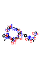 C#CNc1ccccc1CC[C@@H]1NC(=O)[C@H]([C@@H](C)[C@@H](O)CO)NC(=O)[C@@H]2C[C@@H](O)CN2C(=O)[C@H](CC(=O)NCc2ccc(NC(=O)[C@H](C)NC(=O)C(NC(=O)CCN3C(=O)C=CC3=O)C(C)C)cc2)NC(=O)[C@@H]2C=C(CNC(=O)[C@H]([C@@H](C)CC)NC(=O)CNC1=O)N2